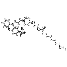 CCCCCCCCCC(=O)OCCOC1CCN(CCCN2c3ccccc3Sc3ccc(C(F)(F)F)cc32)CC1